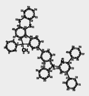 CC1(c2ccccc2)c2cc(-c3ccc4c(c3)c3ccccc3n4-c3cc(-c4ccccc4)cc(-c4ccccc4)n3)ccc2-c2c1ccc1c2Sc2ccccc2S1